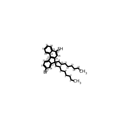 CCCCCCCCC1(CCCCCCCC)c2cc(Br)ccc2-c2c1cc(S)c1ccccc21